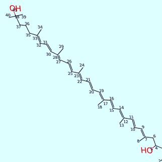 CC(C)=CC(O)C/C(C)=C/C=C/C(C)=C/C=C/C(C)=C/C=C/C=C(C)/C=C/C=C(C)/C=C/C=C(\C)CCCC(C)(C)O